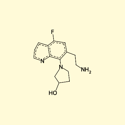 NCCc1cc(F)c2cccnc2c1N1CCC(O)C1